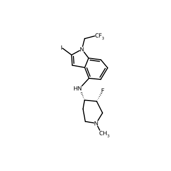 CN1CC[C@H](Nc2cccc3c2cc(I)n3CC(F)(F)F)[C@H](F)C1